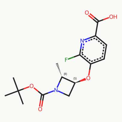 C[C@@H]1[C@@H](Oc2ccc(C(=O)O)nc2F)CN1C(=O)OC(C)(C)C